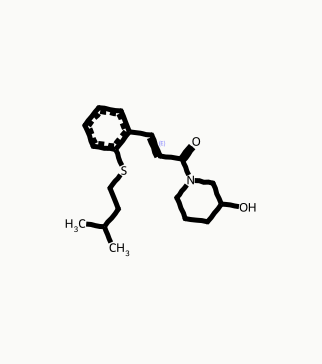 CC(C)CCSc1ccccc1/C=C/C(=O)N1CCCC(O)C1